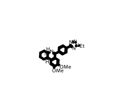 CCn1nnc(-c2ccc(C3=N[C@H]4CCCC[C@H]4c4cc(OC)c(OC)cc43)cc2)n1